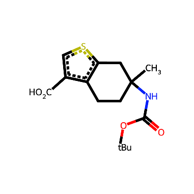 CC1(NC(=O)OC(C)(C)C)CCc2c(C(=O)O)csc2C1